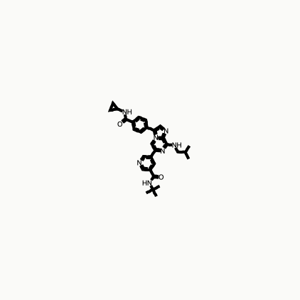 CC(C)CNc1nc(-c2cncc(C(=O)NC(C)(C)C)c2)cn2c(-c3ccc(C(=O)NC4CC4)cc3)cnc12